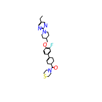 CCc1cnc(N2CCC(COc3ccc(C4=CCC(C(=O)N5CCSCC5)CC4)cc3F)CC2)nc1